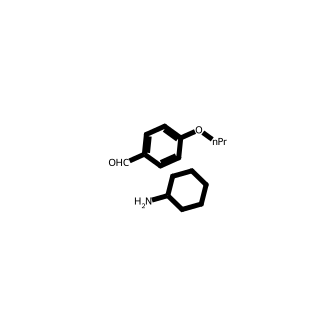 CCCOc1ccc(C=O)cc1.NC1CCCCC1